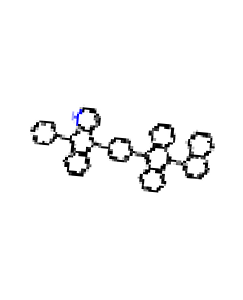 c1ccc(-c2c3ccccc3c(-c3ccc(-c4c5ccccc5c(-c5cccc6ccccc56)c5ccccc45)cc3)c3cccnc23)cc1